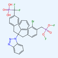 O=P(Cc1ccc(CC(Cc2ccc(C(F)(F)P(=O)(O)O)cc2)(c2ccccc2)n2nnc3ccccc32)cc1Br)(OF)OF